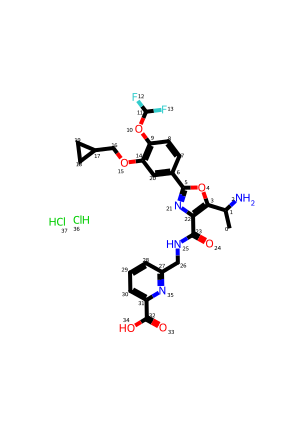 CC(N)c1oc(-c2ccc(OC(F)F)c(OCC3CC3)c2)nc1C(=O)NCc1cccc(C(=O)O)n1.Cl.Cl